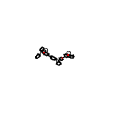 c1ccc(N(c2ccc(-c3ccc4c(c3)Oc3ccccc3N4c3ccccc3)cc2)c2ccc(-c3ccc4oc5ccccc5c4c3)cc2)cc1